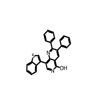 Oc1ncc(-c2csc3ccccc23)c2nc(-c3cc[c]cc3)c(-c3ccccc3)cc12